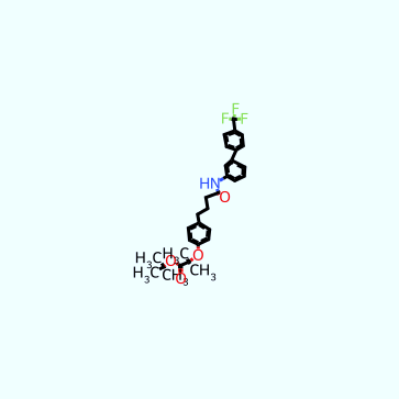 CC(C)(C)OC(=O)C(C)(C)Oc1ccc(CCCC(=O)Nc2cccc(-c3ccc(C(F)(F)F)cc3)c2)cc1